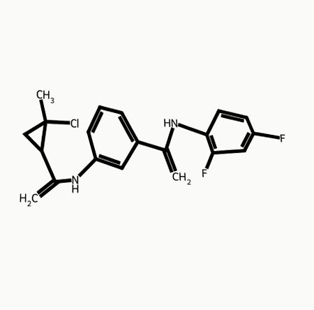 C=C(Nc1ccc(F)cc1F)c1cccc(NC(=C)C2CC2(C)Cl)c1